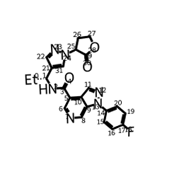 CC[C@@H](NC(=O)c1cncc2c1cnn2-c1ccc(F)cc1)c1cnn(C2CCOC2=O)c1